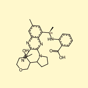 Cc1cc([C@@H](C)Nc2ccccc2C(=O)O)c2nc(N3CCCC3C3COCCC3(C)O)c(C#N)nc2c1